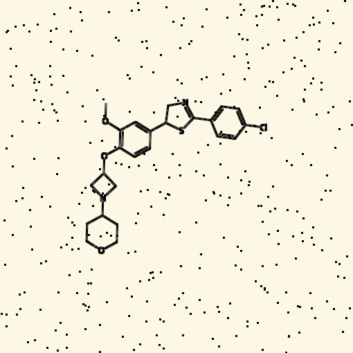 COc1cc(C2CN=C(c3ccc(Cl)cc3)S2)ccc1OC1CN(C2CCOCC2)C1